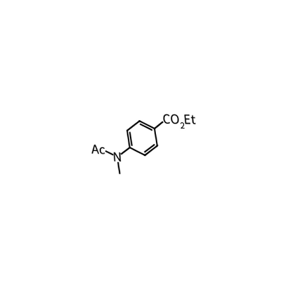 CCOC(=O)c1ccc(N(C)C(C)=O)cc1